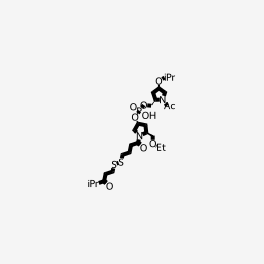 CCOC[C@@H]1C[C@@H](OP(=O)(O)OC[C@@H]2C[C@@H](OC(C)C)CN2C(C)=O)CN1C(=O)CCCSSCCC(=O)C(C)C